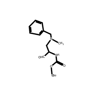 CN(Cc1ccccc1)CC(C=O)NC(=O)OC(C)(C)C